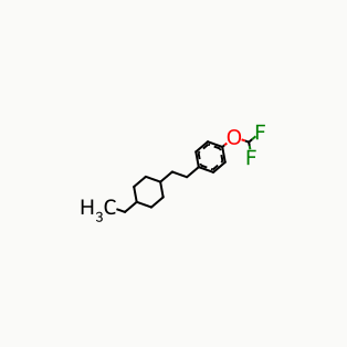 CCC1CCC(CCc2ccc(OC(F)F)cc2)CC1